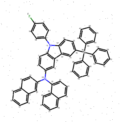 Fc1ccc(-n2c3ccc(N(c4ccc5ccccc5c4)c4cccc5ccccc45)cc3c3cc([Si](c4ccccc4)(c4ccccc4)c4ccccc4)ccc32)cc1